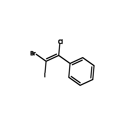 Cl/C(=C(\Br)I)c1ccccc1